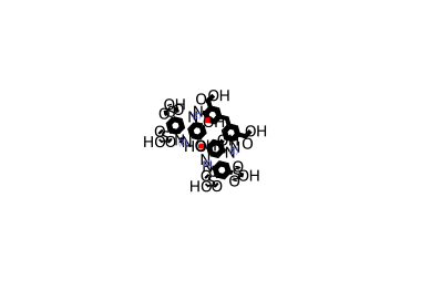 O=C(O)c1cc(Cc2ccc(/N=N\c3cc(/N=N\c4ccc(S(=O)(=O)O)cc4S(=O)(=O)O)c(O)cc3O)c(C(=O)O)c2)ccc1/N=N\c1cc(/N=N\c2ccc(S(=O)(=O)O)cc2S(=O)(=O)O)c(O)cc1O